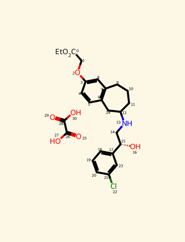 CCOC(=O)COc1ccc2c(c1)CCCC(NC[C@H](O)c1cccc(Cl)c1)C2.O=C(O)C(=O)O